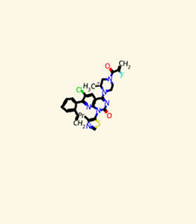 C=Cc1ccccc1-c1nc2c(cc1Cl)c(N1CCN(C(=O)C(=C)F)C[C@@H]1C)nc(=O)n2-c1scnc1C(C)C